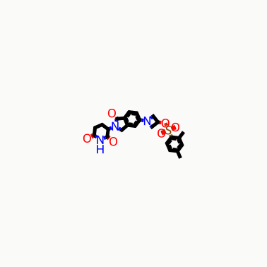 Cc1ccc(S(=O)(=O)OC2CN(c3ccc4c(c3)CN(C3CCC(=O)NC3=O)C4=O)C2)c(C)c1